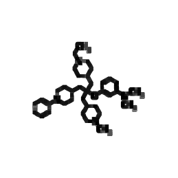 CCN1CCC(CC(CC2CCN(C)CC2)(CC2CCN(c3ccccc3)CC2)Oc2cccc(N(C)C)c2)CC1